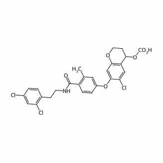 Cc1cc(Oc2cc3c(cc2Cl)C(OC(=O)O)CCO3)ccc1C(=O)NCCc1ccc(Cl)cc1Cl